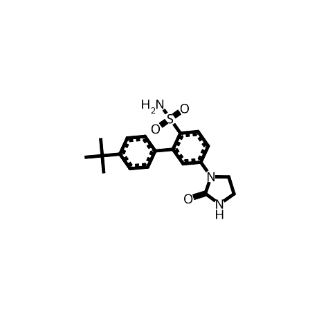 CC(C)(C)c1ccc(-c2cc(N3CCNC3=O)ccc2S(N)(=O)=O)cc1